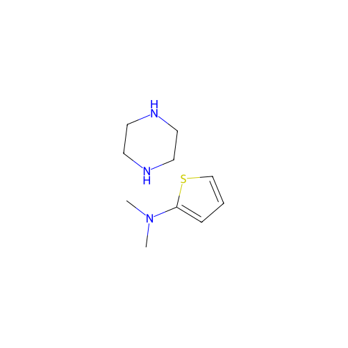 C1CNCCN1.CN(C)c1cccs1